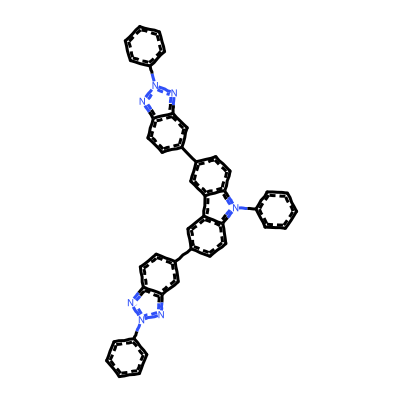 c1ccc(-n2nc3ccc(-c4ccc5c(c4)c4cc(-c6ccc7nn(-c8ccccc8)nc7c6)ccc4n5-c4ccccc4)cc3n2)cc1